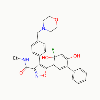 CCNC(=O)c1noc(C2C=C(c3ccccc3)C(O)=CC2(O)F)c1-c1ccc(CN2CCOCC2)cc1